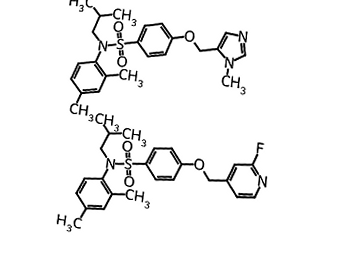 Cc1ccc(N(CC(C)C)S(=O)(=O)c2ccc(OCc3ccnc(F)c3)cc2)c(C)c1.Cc1ccc(N(CC(C)C)S(=O)(=O)c2ccc(OCc3cncn3C)cc2)c(C)c1